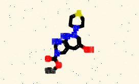 CC(C)(C)OC(=O)N1CNC2=C(CC(O)=CN(N3CCSCC3)N2)C1